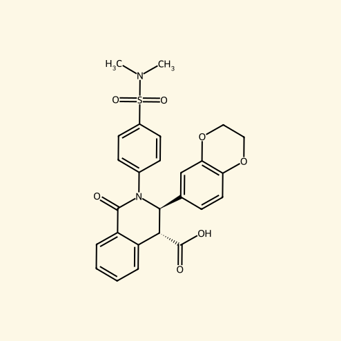 CN(C)S(=O)(=O)c1ccc(N2C(=O)c3ccccc3[C@@H](C(=O)O)[C@@H]2c2ccc3c(c2)OCCO3)cc1